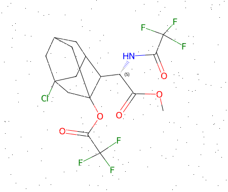 COC(=O)[C@@H](NC(=O)C(F)(F)F)C1C2CC3CC(Cl)(C2)CC1(OC(=O)C(F)(F)F)C3